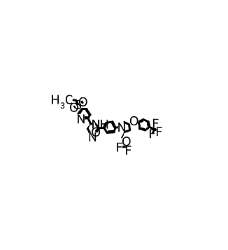 CCS(=O)(=O)c1ccc([C@H](CC#N)NC(=O)c2ccc(N3C[C@@H](Oc4ccc(C(F)(F)F)cc4)C[C@H]3COC(F)F)cc2)nc1